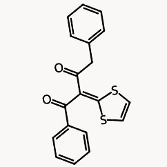 O=C(Cc1ccccc1)C(C(=O)c1ccccc1)=C1SC=CS1